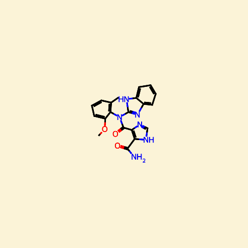 COc1cccc(C)c1N(C(=O)c1nc[nH]c1C(N)=O)c1nc2ccccc2[nH]1